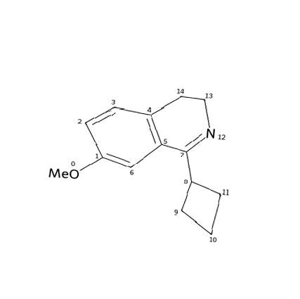 COc1ccc2c(c1)C(C1CCC1)=NCC2